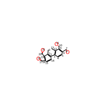 Cc1c(-c2ccc(C=O)c(C=O)c2C)ccc(C=O)c1C=O